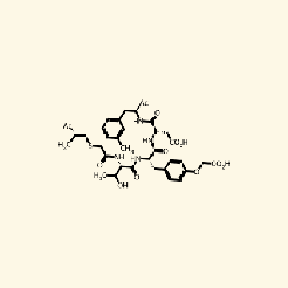 CC(=O)[C@H](Cc1cccc(C)c1)NC(=O)[C@H](CC(=O)O)NC(=O)[C@H](Cc1ccc(OCC(=O)O)cc1)NC(=O)[C@@H](NC(=O)CSC[C@H](C)C(C)=O)C(C)O